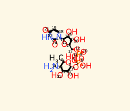 C[C@H]1O[C@H](OP(=O)(O)OP(=O)(O)OC[C@H]2O[C@@H](n3ccc(=O)[nH]c3=O)[C@H](O)[C@@H]2O)[C@H](O)[C@@H](O)[C@@H]1N